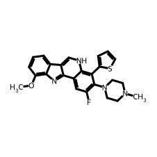 COc1cccc2c3c[nH]c4c(-c5cccs5)c(N5CCN(C)CC5)c(F)cc4c-3nc12